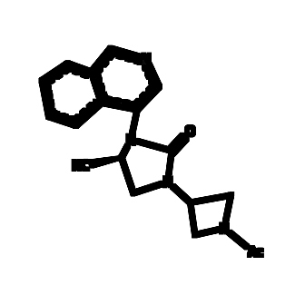 CC(=O)N1CC(N2C[C@@H](C#N)N(c3cncc4ccccc34)C2=O)C1